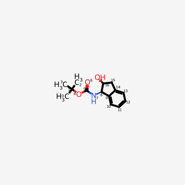 CC(C)(C)OC(=O)N[C@@H]1c2ccccc2CC1O